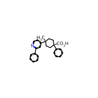 C[C@]1(c2ccnc(-c3ccccc3)c2)CC[C@@](C(=O)O)(c2ccccc2)CC1